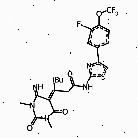 CCC(C)/C(CC(=O)Nc1nc(-c2ccc(OC(F)(F)F)c(F)c2)cs1)=C1\C(=N)N(C)C(=O)N(C)C1=O